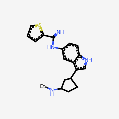 CCNC1CCC(c2c[nH]c3ccc(NC(=N)c4cccs4)cc23)C1